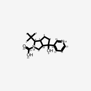 CC(C)(C)C1C2CCC(O)(c3cccnc3)C2CN1C(=O)O